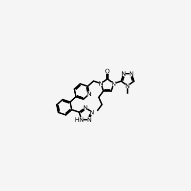 CCCc1cn(-c2nncn2C)c(=O)n1Cc1ccc(-c2ccccc2-c2nnn[nH]2)cn1